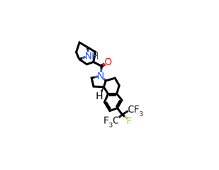 O=C(C1CC2CCC(C1)N2)N1CC[C@H]2c3ccc(C(F)(C(F)(F)F)C(F)(F)F)cc3CCC21